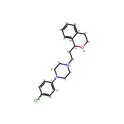 Clc1ccc(N2CCN(CCC3OCCc4ccccc43)CC2)cc1